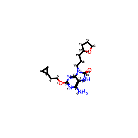 Nc1nc(OCCC2CC2)nc2c1[nH]c(=O)n2CCCC1CCCO1